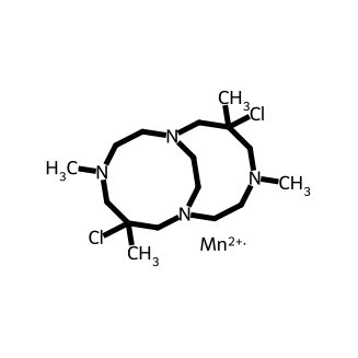 CN1CCN2CCN(CCN(C)CC(C)(Cl)C2)CC(C)(Cl)C1.[Mn+2]